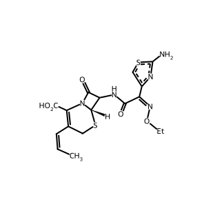 C/C=C\C1=C(C(=O)O)N2C(=O)C(NC(=O)/C(=N\OCC)c3csc(N)n3)[C@@H]2SC1